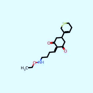 CCONCCCC=C1C(=O)CC(C2=CCCSC2)CC1=O